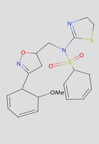 COC1C=CC=CC1C1=NOC(CN(C2=NCCS2)S(=O)(=O)C2C=CC=CC2)C1